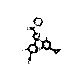 N#Cc1ccc(-c2cc(C(=O)N3CCCCC3)nn2-c2c(F)cc(C3CC3)cc2F)cc1F